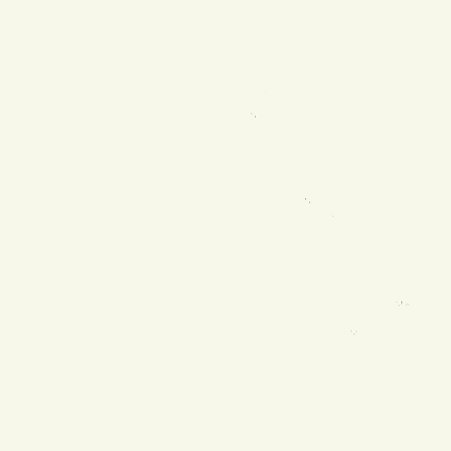 COc1cc2c(cc1OC)C(=O)N(CCCN(C)CCCc1ccc3ccccc3c1)CC2.Cl